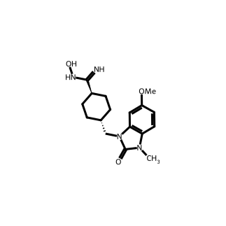 COc1ccc2c(c1)n(C[C@H]1CC[C@H](C(=N)NO)CC1)c(=O)n2C